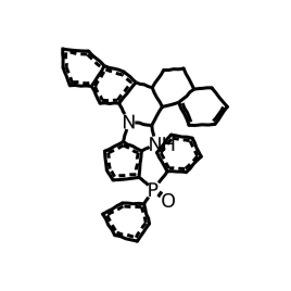 O=P(c1ccccc1)(c1ccccc1)c1cccc2c1NC1C3C4=CC=CCC4CCC3c3cc4ccccc4cc3N21